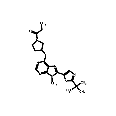 CCC(=O)N1CCC(Oc2ncnc3c2nc(-c2cnc(C(C)(C)C)s2)n3C)C1